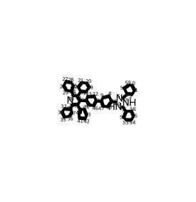 c1ccc(C2=NC(c3ccc(-c4ccc(-c5c(-c6ccccc6)c(-c6ccccc6)nc(-c6ccccc6)c5-c5ccccc5)cc4)cc3)NC(c3ccccc3)N2)cc1